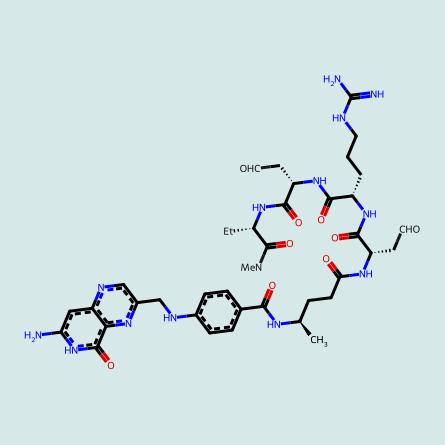 CC[C@H](NC(=O)[C@H](CC=O)NC(=O)[C@H](CCCNC(=N)N)NC(=O)[C@H](CC=O)NC(=O)CC[C@@H](C)NC(=O)c1ccc(NCc2cnc3cc(N)[nH]c(=O)c3n2)cc1)C(=O)NC